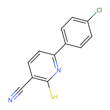 N#Cc1ccc(-c2ccc(Cl)cc2)nc1S